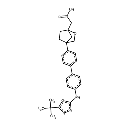 CC(C)(C)c1nnc(Nc2ccc(-c3ccc(C45CCC(CC(=O)O)(C4)OC5)cc3)cc2)o1